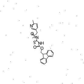 Cc1ccc(CS(C)(=O)=NC(=S)NC(=O)OCC2c3ccccc3-c3ccccc32)cn1